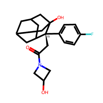 O=C(C[C@@]1(c2ccc(F)cc2)C2CC3CC(C2)CC1(O)C3)N1CC(O)C1